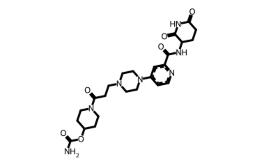 NC(=O)OC1CCN(C(=O)CCN2CCN(c3ccnc(C(=O)NC4CCC(=O)NC4=O)c3)CC2)CC1